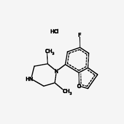 CC1CNCC(C)N1c1cc(F)cc2ccoc12.Cl